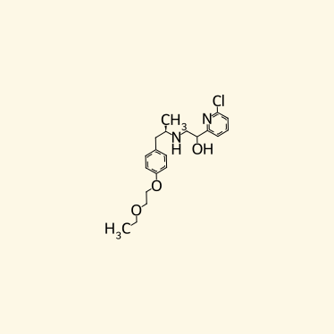 CCOCCOc1ccc(C[C@@H](C)NCC(O)c2cccc(Cl)n2)cc1